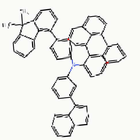 CC1(C)c2ccccc2-c2c(-c3ccc(N(c4cccc(-c5cccc6ccccc56)c4)c4ccccc4-c4cccc5cccc(-c6ccccc6)c45)cc3)cccc21